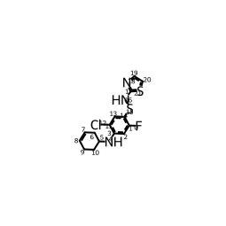 Fc1cc(NC2CC=CCC2)c(Cl)cc1SNc1nccs1